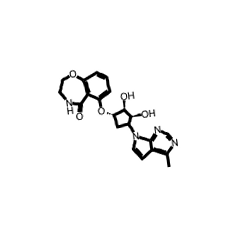 Cc1ncnc2c1ccn2C1C[C@H](Oc2cccc3c2C(=O)NCCO3)[C@@H](O)[C@H]1O